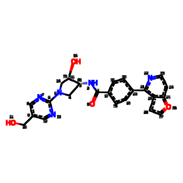 O=C(N[C@@H]1CN(c2ncc(CO)cn2)C[C@H]1O)c1ccc(-c2nccc3occc23)cc1